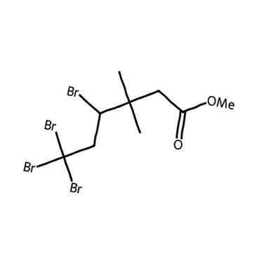 COC(=O)CC(C)(C)C(Br)CC(Br)(Br)Br